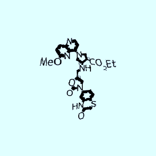 CCOC(=O)[C@H]1CN(c2ccnc3ccc(OC)nc23)C[C@@H]1NC[C@H]1CN(c2ccc3c(c2)NC(=O)CS3)C(=O)O1